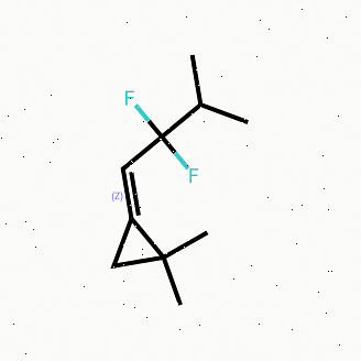 CC(C)C(F)(F)/C=C1/CC1(C)C